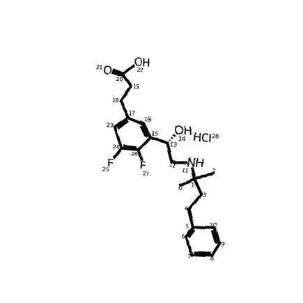 CC(C)(CCc1ccccc1)NC[C@@H](O)c1cc(CCC(=O)O)cc(F)c1F.Cl